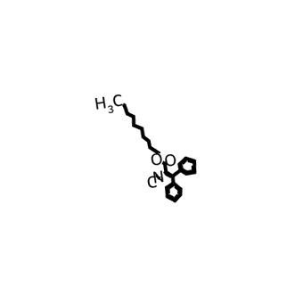 [C-]#[N+]C(C(=O)OCCCCCCCCCC)=C(c1ccccc1)c1ccccc1